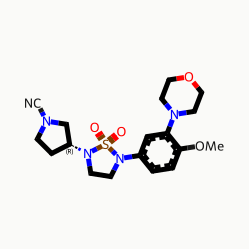 COc1ccc(N2CCN([C@@H]3CCN(C#N)C3)S2(=O)=O)cc1N1CCOCC1